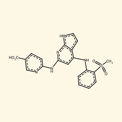 CS(=O)(=O)c1ccccc1Nc1cc(Nc2ccc(C(=O)O)cn2)nc2[nH]ccc12